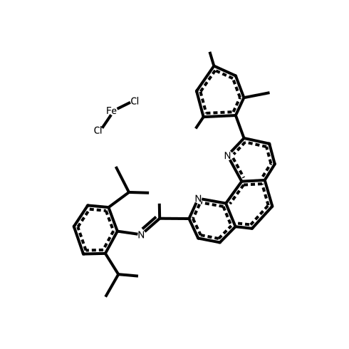 CC(=Nc1c(C(C)C)cccc1C(C)C)c1ccc2ccc3ccc(-c4c(C)cc(C)cc4C)nc3c2n1.[Cl][Fe][Cl]